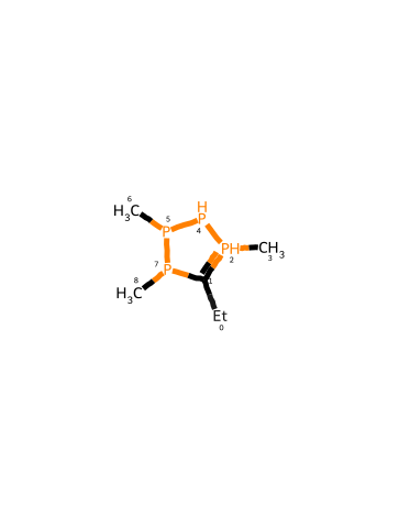 CCC1=[PH](C)PP(C)P1C